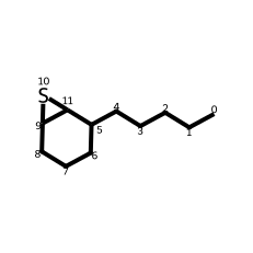 CCCCCC1CCCC2SC12